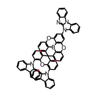 c1cc(-n2c3ccccc3c3ccccc32)c2c(c1)C1(c3cccc(-n4c5ccccc5c5ccccc54)c3O2)c2cccc3c2B2c4c(cc(-n5c6ccccc6n6c7ccccc7nc56)cc4Oc4cccc1c42)O3